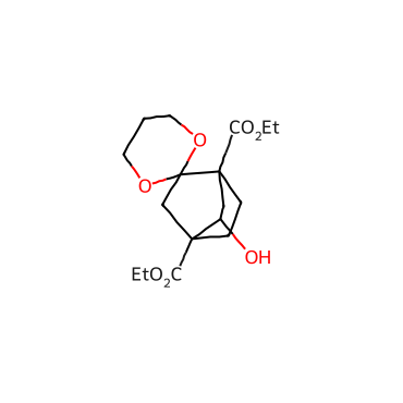 CCOC(=O)C12CCC(C(=O)OCC)(CC1O)C1(C2)OCCCO1